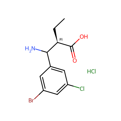 CC[C@@H](C(=O)O)C(N)c1cc(Cl)cc(Br)c1.Cl